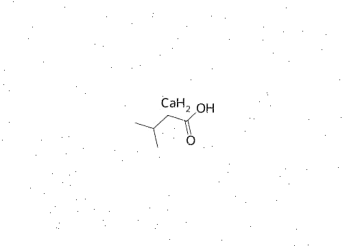 CC(C)CC(=O)O.[CaH2]